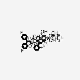 CC(C)(C)OC(O)N[C@H](C(=O)Nc1cccc(F)c1CC[C@@H]1CN(C(O)OC(C)(C)C)C[C@@H](CO)O1)C(c1ccc(F)cc1)c1ccc(F)cc1